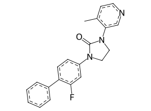 Cc1ccncc1N1CCN(c2ccc(-c3ccccc3)c(F)c2)C1=O